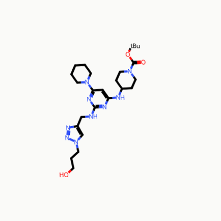 CC(C)(C)OC(=O)N1CCC(Nc2cc(N3CCCCC3)nc(NCc3cn(CCCO)nn3)n2)CC1